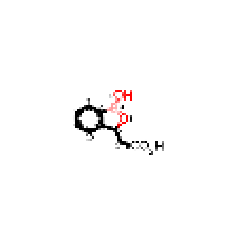 O=C(O)CC1OB(O)c2ccccc21